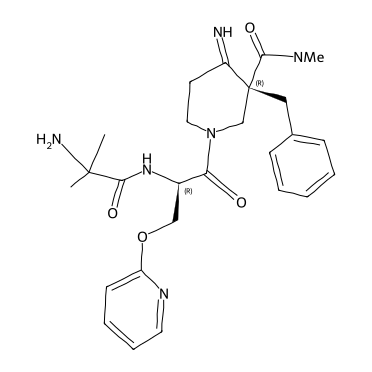 CNC(=O)[C@]1(Cc2ccccc2)CN(C(=O)[C@@H](COc2ccccn2)NC(=O)C(C)(C)N)CCC1=N